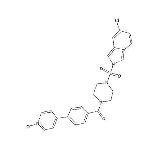 O=C(c1ccc(-c2cc[n+]([O-])cc2)cc1)N1CCN(S(=O)(=O)n2cc3ccc(Cl)cc3c2)CC1